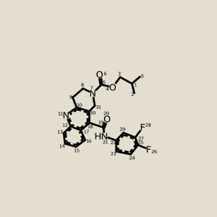 CC(C)COC(=O)N1CCc2nc3ccccc3c(C(=O)Nc3ccc(F)c(F)c3)c2C1